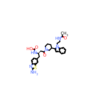 CC(=O)NCCn1c(C2CCCN(C(=O)C[C@@H](Cc3ccc4nc(N)sc4c3)NC(=O)O)C2)cc2ccccc21